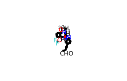 [2H]C([2H])([2H])N1C(=O)c2cccc(OC(F)F)c2[C@H]2C[C@@H]1c1nc3ccc(C#CCCC=O)cc3n12